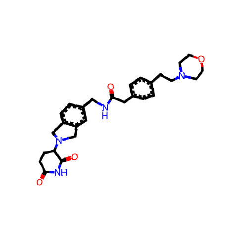 O=C(Cc1ccc(CCN2CCOCC2)cc1)NCc1ccc2c(c1)CN(C1CCC(=O)NC1=O)C2